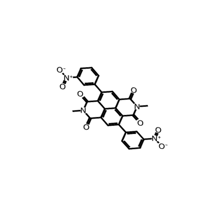 CN1C(=O)c2cc(-c3cccc([N+](=O)[O-])c3)c3c4c(cc(-c5cccc([N+](=O)[O-])c5)c(c24)C1=O)C(=O)N(C)C3=O